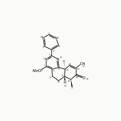 COc1nc(-c2cncnc2)nc2c1CC[C@H]1[C@H](C)C(=O)C(C#N)=C[C@]21C